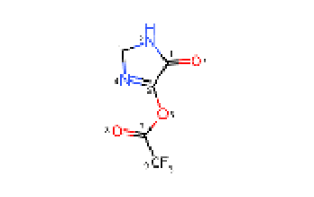 O=C1NCN=C1OC(=O)C(F)(F)F